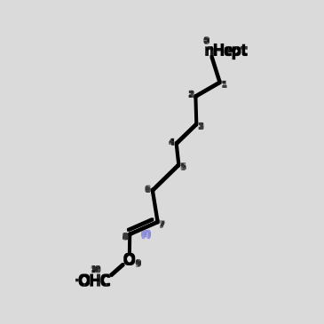 CCCCCCCCCCCCC/C=C/O[C]=O